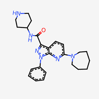 O=C(NC1CCNCC1)c1nn(-c2ccccc2)c2nc(N3CCCCCC3)ccc12